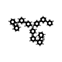 c1ccc(-c2cccc(-c3ccc(N(c4ccc(-c5cccc(-c6cccc7oc8ccccc8c67)c5)cc4)c4ccc(-c5cccc(-n6c7ccccc7c7ccccc76)c5)cc4)cc3)c2)cc1